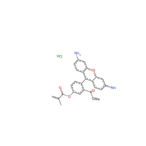 C=C(C)C(=O)Oc1ccc(-c2c3ccc(=N)cc-3oc3cc(N)ccc23)c(C(=O)OC)c1.Cl